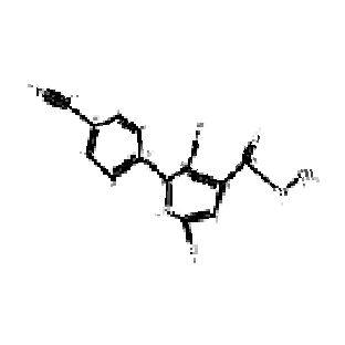 COC(=O)c1cc(Cl)nc(-c2ccc(C#N)cc2)c1F